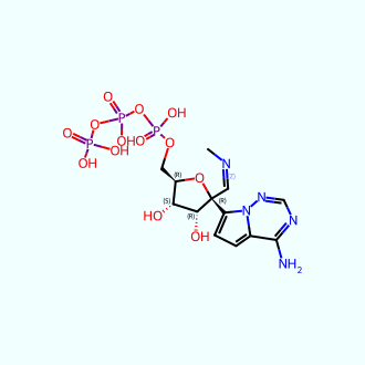 C/N=C\[C@@]1(c2ccc3c(N)ncnn23)O[C@H](COP(=O)(O)OP(=O)(O)OP(=O)(O)O)[C@@H](O)[C@H]1O